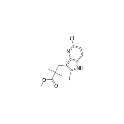 COC(=O)C(C)(C)Cc1c(I)[nH]c2ccc(Cl)nc12